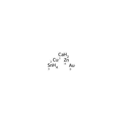 [Au].[CaH2].[Cu].[SnH4].[Zn]